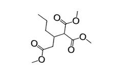 CCCC(CC(=O)OC)C(C(=O)OC)C(=O)OC